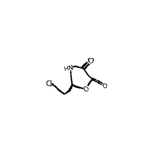 O=C1NC(CCl)OC1=O